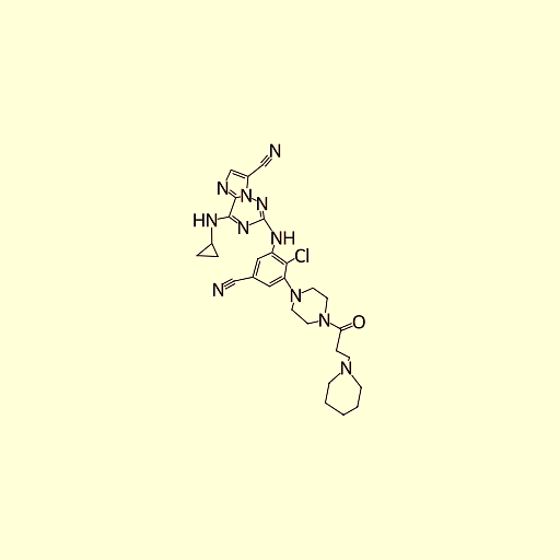 N#Cc1cc(Nc2nc(NC3CC3)c3ncc(C#N)n3n2)c(Cl)c(N2CCN(C(=O)CCN3CCCCC3)CC2)c1